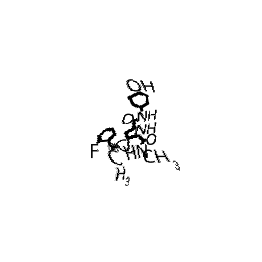 CNC(=O)c1[nH]c(C(=O)NC2CCC(O)CC2)cc1O[C@H](C)c1ccccc1F